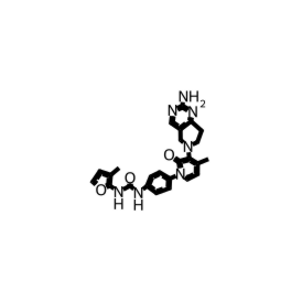 Cc1ccoc1NC(=O)Nc1ccc(-n2ccc(C)c(N3CCc4nc(N)ncc4C3)c2=O)cc1